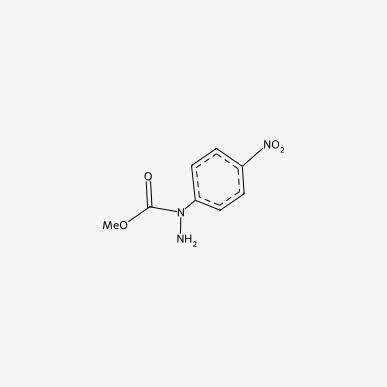 COC(=O)N(N)c1ccc([N+](=O)[O-])cc1